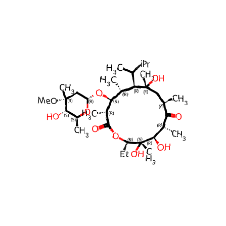 CC[C@H]1OC(=O)[C@H](C)[C@@H](O[C@H]2C[C@@](C)(OC)[C@@H](O)[C@H](C)O2)[C@H](C)[C@@H](C(C)C(C)C)[C@](C)(O)C[C@@H](C)C(=O)[C@H](C)[C@@H](O)[C@]1(C)O